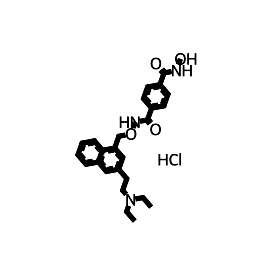 CCN(CC)CCc1cc(CONC(=O)c2ccc(C(=O)NO)cc2)c2ccccc2c1.Cl